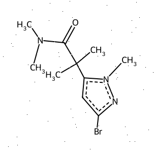 CN(C)C(=O)C(C)(C)c1cc(Br)nn1C